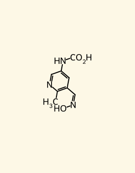 Cc1ncc(NC(=O)O)cc1/C=N\O